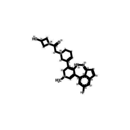 CN1C=C2C(=C(C3=CCCN(CC(=O)N4CC(O)C4)C3)C1)NN=C1C=Cc3cc(F)cc2c31